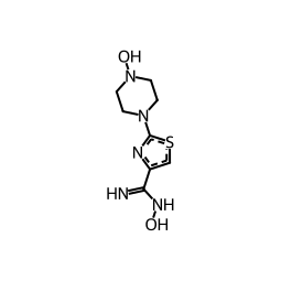 N=C(NO)c1csc(N2CCN(O)CC2)n1